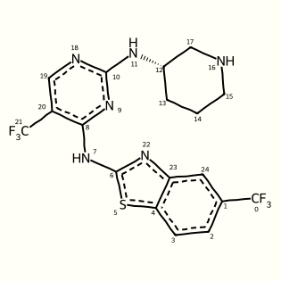 FC(F)(F)c1ccc2sc(Nc3nc(N[C@H]4CCCNC4)ncc3C(F)(F)F)nc2c1